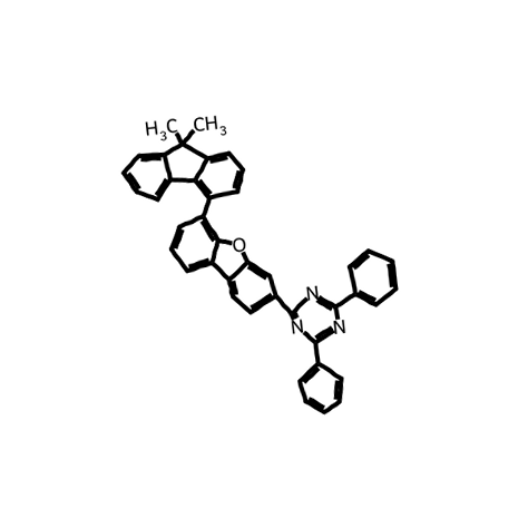 CC1(C)c2ccccc2-c2c(-c3cccc4c3oc3cc(-c5nc(-c6ccccc6)nc(-c6ccccc6)n5)ccc34)cccc21